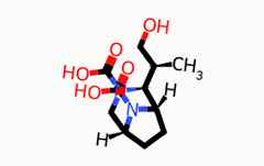 C[C@H](CO)[C@H]1[C@@H]2CC[C@H](CN1C(=O)O)N2C(=O)O